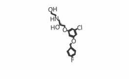 OCCNC[C@@H](O)COc1cc(Cl)cc(OCc2ccc(F)cc2)c1